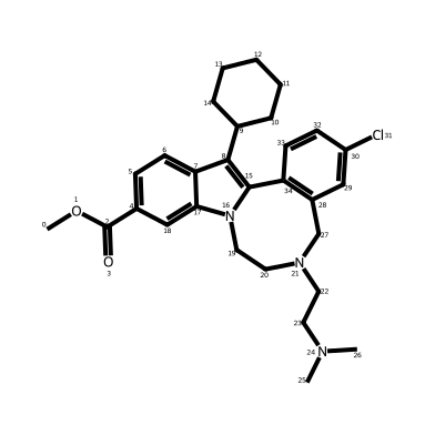 COC(=O)c1ccc2c(C3CCCCC3)c3n(c2c1)CCN(CCN(C)C)Cc1cc(Cl)ccc1-3